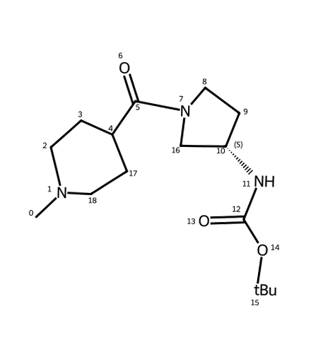 CN1CCC(C(=O)N2CC[C@H](NC(=O)OC(C)(C)C)C2)CC1